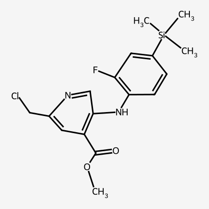 COC(=O)c1cc(CCl)ncc1Nc1ccc([Si](C)(C)C)cc1F